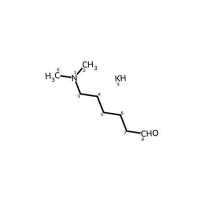 CN(C)CCCCCC=O.[KH]